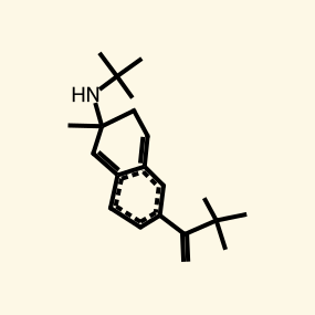 C=C(c1ccc2c(c1)=CCC(C)(NC(C)(C)C)C=2)C(C)(C)C